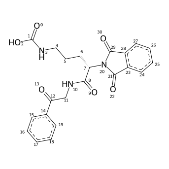 O=C(O)NCCC[C@@H](C(=O)NCC(=O)c1ccccc1)N1C(=O)c2ccccc2C1=O